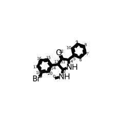 CNC1NC(c2ccccc2)C(=O)C1c1cccc(Br)c1